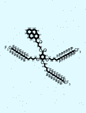 O=C(CCOC(=O)c1cc(OCCCCC(F)(F)C(F)(F)C(F)(F)C(F)(F)C(F)(F)C(F)(F)C(F)(F)C(F)(F)F)c(OCCCCC(F)(F)C(F)(F)C(F)(F)C(F)(F)C(F)(F)C(F)(F)C(F)(F)C(F)(F)F)c(OCCCCC(F)(F)C(F)(F)C(F)(F)C(F)(F)C(F)(F)C(F)(F)C(F)(F)C(F)(F)F)c1)Cc1ccc2ccc3cccc4ccc1c2c34